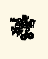 CCC(C)C([C@@H](CC(=O)Oc1c(F)c(F)c(F)c(F)c1F)OC)N(C)C(=O)[C@@H](NC(=O)OCC1c2ccccc2-c2ccccc21)C(C)C